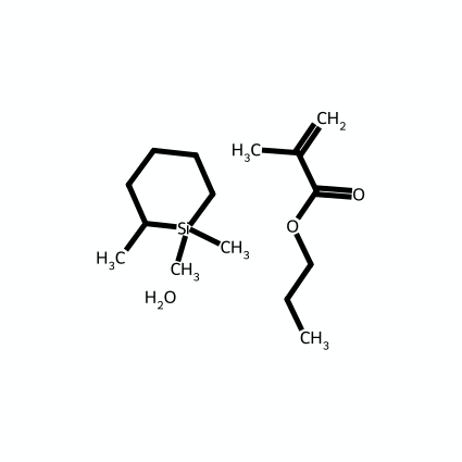 C=C(C)C(=O)OCCC.CC1CCCC[Si]1(C)C.O